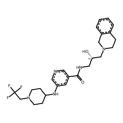 O=C(NC[C@H](O)CN1CCc2ccccc2C1)c1cncc(NC2CCN(CC(F)(F)F)CC2)c1